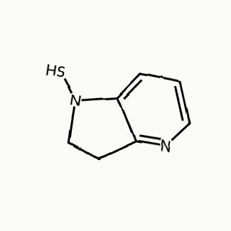 SN1CCc2ncccc21